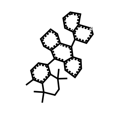 Cc1ccc(-c2c3ccccc3c(-c3ccnc4ccccc34)c3ccccc23)c2c1C(C)(C)CCC2(C)C